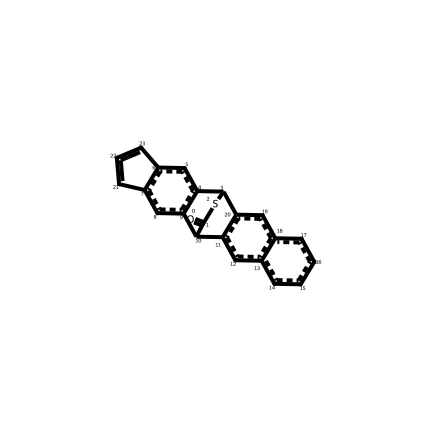 O=C1SC2c3cc4c(cc3C1c1cc3ccccc3cc12)C=C=C4